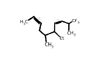 C/C=C\CC(C)C(/C=C\C(C)C(F)(F)F)CC